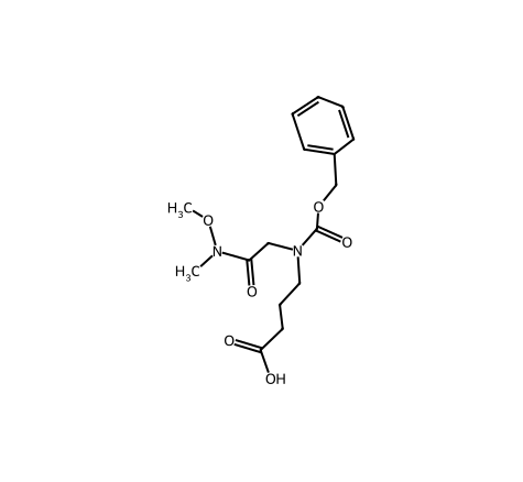 CON(C)C(=O)CN(CCCC(=O)O)C(=O)OCc1ccccc1